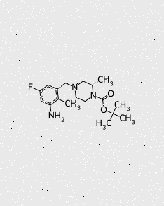 Cc1c(N)cc(F)cc1CN1CCN(C(=O)OC(C)(C)C)[C@@H](C)C1